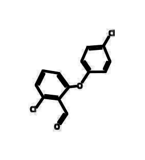 O=Cc1c(Cl)cccc1Oc1ccc(Cl)cc1